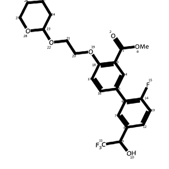 COC(=O)c1cc(-c2cc(C(O)C(F)(F)F)ccc2F)ccc1OCCOC1CCCCO1